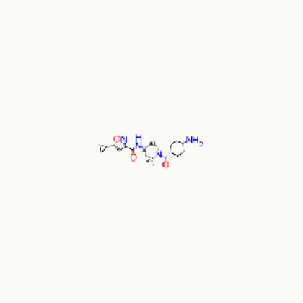 C[C@@H]1CN(C(=O)[C@H]2CC[C@H](N)CC2)[C@H](C)C[C@@H]1NC(=O)c1cc(C2CC2)on1